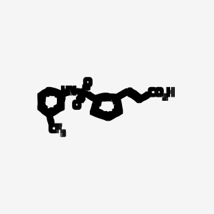 O=C(O)/C=C/c1cccc(S(=O)(=O)Nc2cccc(C(F)(F)F)c2)c1